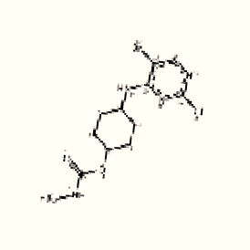 CCCCNC(=O)OC1CCC(Nc2nc(Cl)ncc2Br)CC1